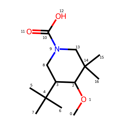 COC1C(C(C)(C)C)CN(C(=O)O)CC1(C)C